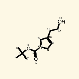 CC(C)(C)OC(=O)N1CC=C(CCO)C1